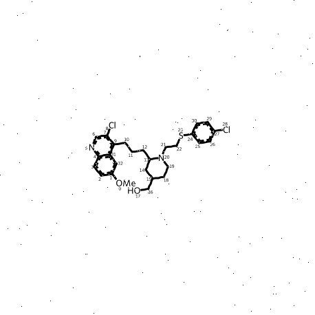 COc1ccc2ncc(Cl)c(CCCC3CC(CO)CCN3CCSc3ccc(Cl)cc3)c2c1